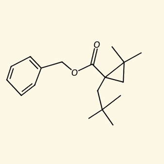 CC(C)(C)CC1(C(=O)OCc2ccccc2)CC1(C)C